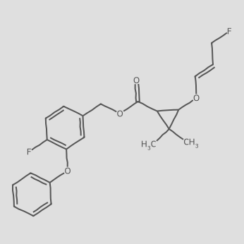 CC1(C)C(OC=CCF)C1C(=O)OCc1ccc(F)c(Oc2ccccc2)c1